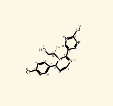 C[C@@H](CO)N1C(c2cnc(Cl)nc2)=NC=CC1c1ccc(Cl)cc1